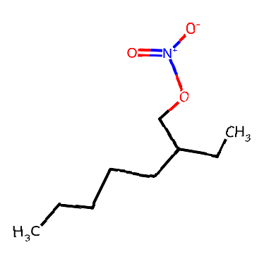 CCCCCC(CC)CO[N+](=O)[O-]